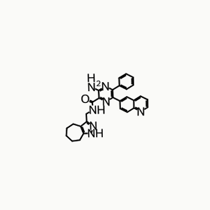 Nc1nc(-c2ccccc2)c(-c2ccc3ncccc3c2)nc1C(=O)NCc1n[nH]c2c1CCCCC2